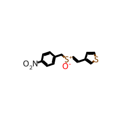 O=[N+]([O-])c1ccc(C[S+]([O-])/C=C/c2ccsc2)cc1